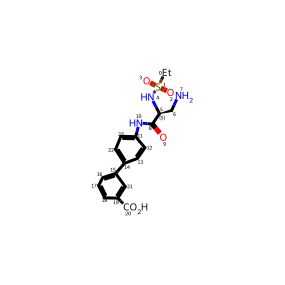 CCS(=O)(=O)N[C@@H](CN)C(=O)Nc1ccc(-c2cccc(C(=O)O)c2)cc1